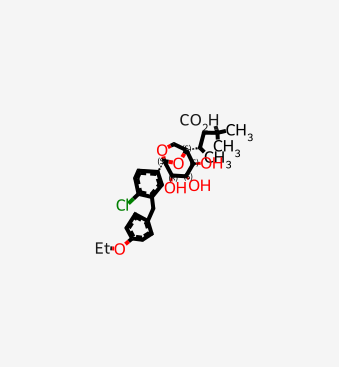 CCOc1ccc(Cc2cc([C@]34OC[C@](C(C)CC(C)(C)C(=O)O)(O3)[C@@H](O)[C@H](O)[C@H]4O)ccc2Cl)cc1